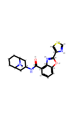 CN1C2CCCC1CC(NC(=O)c1cccc3oc(-c4cscn4)nc13)C2